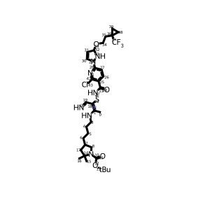 C/C(NCCCCC1CN(C(=O)OC(C)(C)C)C(C)(C)C1)=C(/C=N)SNC(=O)c1ccc(N2C=CC(OCCC3(C(F)(F)F)CC3)N2)nc1Cl